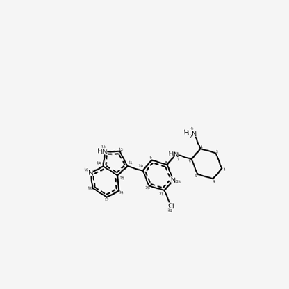 NC1CCCCC1Nc1cc(-c2c[nH]c3ncccc23)cc(Cl)n1